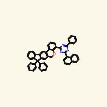 c1ccc(-c2nc(-c3cccc4c3OCc3cc5c(cc3-4)-c3ccccc3C5(c3ccccc3)c3ccccc3)nc(-c3cccc4ccccc34)n2)cc1